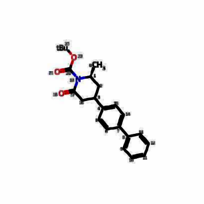 C[C@H]1CC(c2ccc(-c3ccccc3)cc2)CC(=O)N1C(=O)OC(C)(C)C